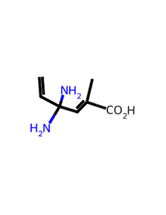 C=CC(N)(N)C=C(C)C(=O)O